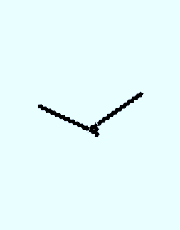 CCCCCCCCCCCCCCCCCCCCCCSc1cc(CC)cc(SCCCCCCCCCCCCCCCCCCCCCC)c1